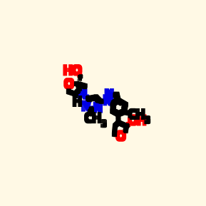 Cc1nc(N2C[C@@]3(CO)C[C@@H]2CO3)cc(-n2ncc3cc(C)c(C4CCOCC4O)cc32)n1